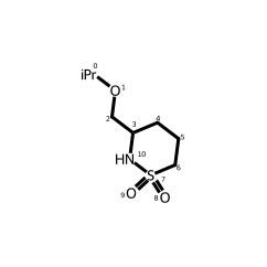 CC(C)OCC1CCCS(=O)(=O)N1